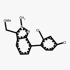 COCc1c2cccc(-c3ccc(Cl)cc3Cl)c2nn1C